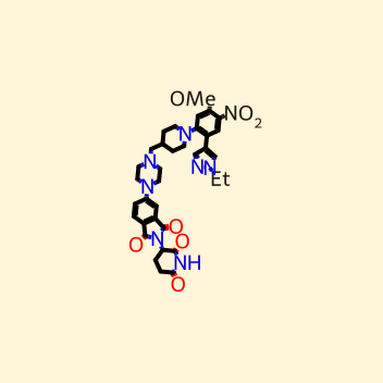 CCn1cc(-c2cc([N+](=O)[O-])c(OC)cc2N2CCC(CN3CCN(c4ccc5c(c4)C(=O)N(C4CCC(=O)NC4=O)C5=O)CC3)CC2)cn1